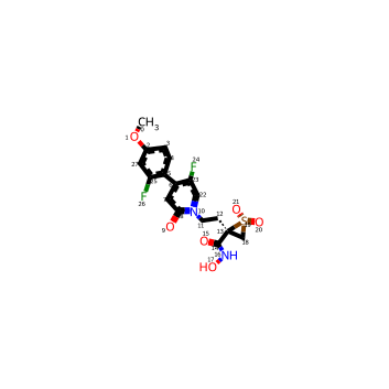 COc1ccc(-c2cc(=O)n(CC[C@@]3(C(=O)NO)CS3(=O)=O)cc2F)c(F)c1